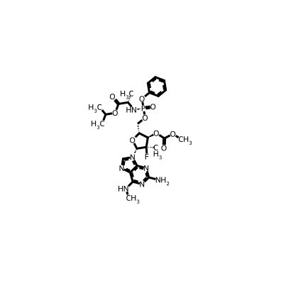 CNc1nc(N)nc2c1ncn2[C@@H]1O[C@H](CO[P@@](=O)(N[C@@H](C)C(=O)OC(C)C)Oc2ccccc2)[C@@H](OC(=O)OC)[C@@]1(C)F